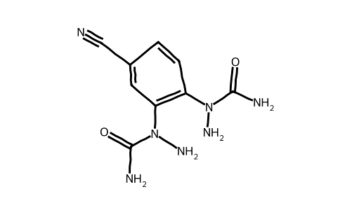 N#Cc1ccc(N(N)C(N)=O)c(N(N)C(N)=O)c1